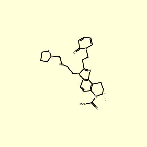 COC(=O)N1c2ccc3c(nc(CCn4ccccc4=O)n3CCNC[C@H]3CCCO3)c2CC[C@@H]1C